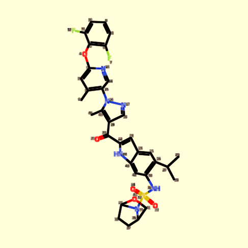 Cc1cc(Oc2c(F)cccc2F)ncc1-n1ncc(C(=O)c2cc3cc(C(C)C)c(NS(=O)(=O)N4C5CCC4OC5)cc3[nH]2)c1C